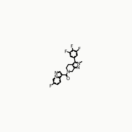 Cn1nc2c(c1-c1cc(F)c(F)c(F)c1)CCN(C(=O)c1cnn3cc(F)ccc13)C2